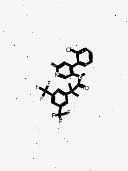 CN(C(=O)C(C)(C)c1cc(C(F)(F)F)cc(C(F)(F)F)c1)c1cnc(I)cc1-c1ccccc1Cl